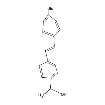 CC(O)c1ccc(/C=C/c2ccc(C(C)(C)C)cc2)cc1